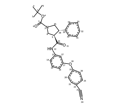 CC(C)(C)OC(=O)N1C[C@H](C(=O)Nc2cccc(Oc3ccc(C#N)cc3)c2)[C@@H](c2ccccc2)C1